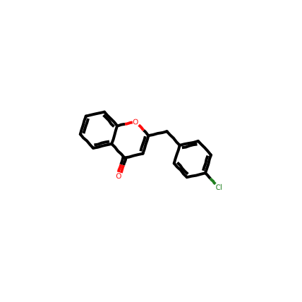 O=c1cc(Cc2ccc(Cl)cc2)oc2ccccc12